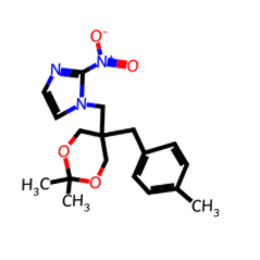 Cc1ccc(CC2(Cn3ccnc3[N+](=O)[O-])COC(C)(C)OC2)cc1